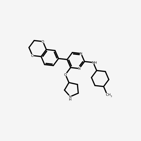 CC1CCC(Nc2ncc(-c3ccc4c(c3)OCCO4)c(OC3CCNC3)n2)CC1